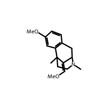 COC=C1C2Cc3ccc(OC)cc3C1(C)CCN2C